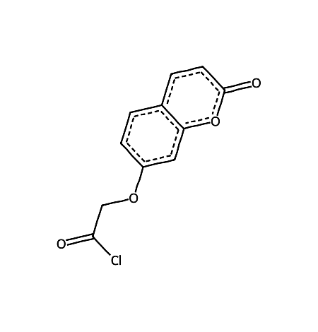 O=C(Cl)COc1ccc2ccc(=O)oc2c1